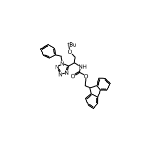 CC(C)(C)OCC(NC(=O)OCC1c2ccccc2-c2ccccc21)c1nnnn1Cc1ccccc1